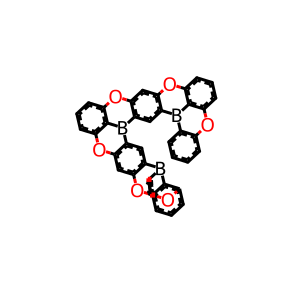 c1ccc2c(c1)Oc1cccc3c1B2c1cc2c(cc1O3)Oc1cccc3c1B2c1cc2c(cc1O3)Oc1cccc3c1B2c1ccccc1O3